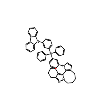 c1ccc([Si](c2ccccc2)(c2cccc(-n3ccc4c3-c3c5c(nn3CCCC4)CCCC5)c2)c2cccc(-n3c4ccccc4c4ccccc43)c2)cc1